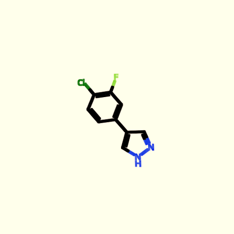 Fc1cc(-c2cn[nH]c2)ccc1Cl